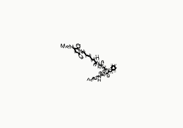 CNC1CC(=O)N(CCCCCC(=O)NCC(=O)NCC(=O)NC(Cc2ccccc2)C(=O)NCC(=O)NCOCC(C)=O)C1=O